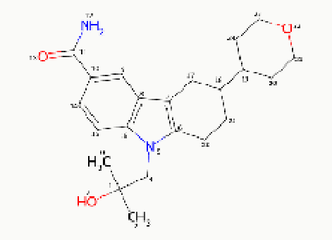 CC(C)(O)Cn1c2c(c3cc(C(N)=O)ccc31)CC(C1CCOCC1)CC2